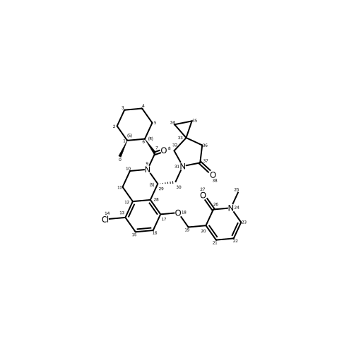 C[C@H]1CCCC[C@H]1C(=O)N1CCc2c(Cl)ccc(OCc3cccn(C)c3=O)c2[C@H]1CN1CC2(CC2)CC1=O